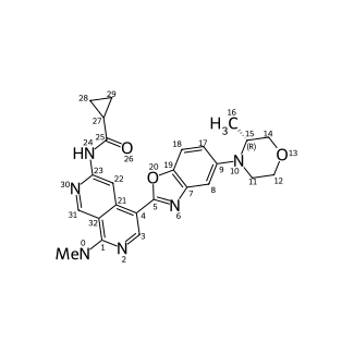 CNc1ncc(-c2nc3cc(N4CCOC[C@H]4C)ccc3o2)c2cc(NC(=O)C3CC3)ncc12